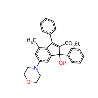 CCOC(=O)C1=C(c2ccccc2)c2c(C)cc(N3CCOCC3)cc2C1(O)c1ccccc1